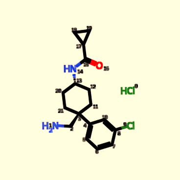 Cl.NC[C@]1(c2cccc(Cl)c2)CC[C@@H](NC(=O)C2CC2)CC1